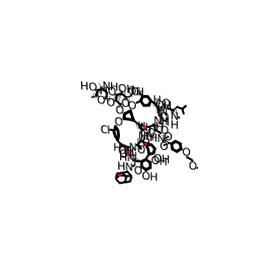 CN[C@H](CC(C)C)C(=O)N[C@H]1C(=O)N[C@@H](CC(=O)NS(=O)(=O)c2ccc(OCCOC)cc2)C(=O)N[C@H]2C(=O)N[C@H]3C(=O)N[C@H](C(=O)N[C@H](C(=O)NC4C5CC6CC(C5)CC4C6)c4cc(O)cc(O)c4-c4cc3ccc4O)[C@H](O)c3ccc(c(Cl)c3)Oc3cc2cc(c3O[C@@H]2O[C@H](CO)[C@@H](O)[C@H](O)[C@H]2O[C@H]2C[C@](C)(N)[C@H](O)[C@H](C)O2)Oc2ccc(cc2Cl)[C@H]1O